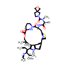 C=C/C(=C(\N=C/C)[C@H](C)OC)c1c2c3cc(ccc3n1CC)-c1csc(n1)C[C@H](NC(=O)[C@H](C(C)C)N(C)C(=O)N1CCC3(COC3)C1)C(=O)N1CCC[C@@](O)(N1)C(=O)OCC(C)(C)C2